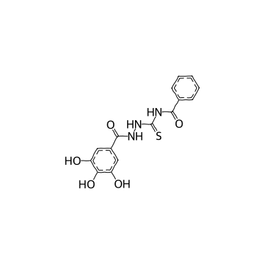 O=C(NNC(=S)NC(=O)c1ccccc1)c1cc(O)c(O)c(O)c1